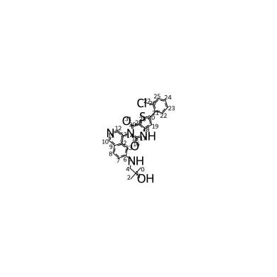 CC(C)(O)CNc1ccc2cncc(-n3c(=O)[nH]c4cc(-c5ccccc5Cl)sc4c3=O)c2c1